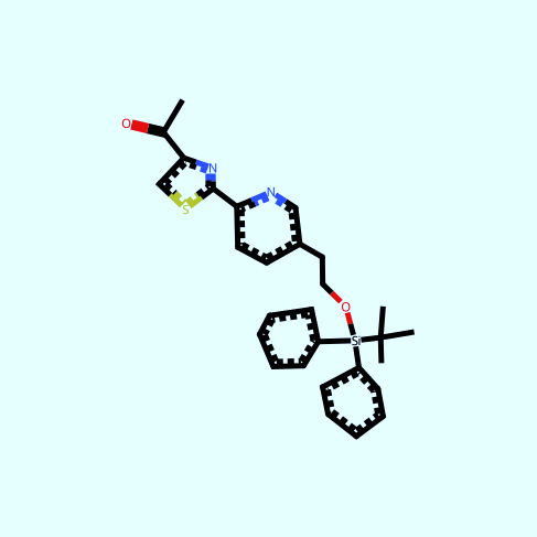 CC(=O)c1csc(-c2ccc(CCO[Si](c3ccccc3)(c3ccccc3)C(C)(C)C)cn2)n1